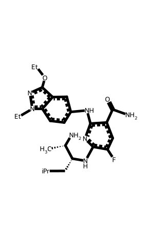 CCOc1nn(CC)c2ccc(Nc3nc(N[C@H](CC(C)C)[C@H](C)N)c(F)cc3C(N)=O)cc12